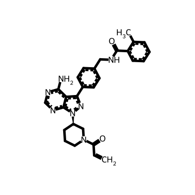 C=CC(=O)N1CCC[C@@H](n2nc(-c3ccc(CNC(=O)c4ccccc4C)cc3)c3c(N)ncnc32)C1